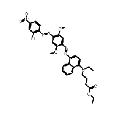 CCOC(=O)CCCN(CC)c1ccc(N=Nc2cc(OC)c(N=Nc3ccc([N+](=O)[O-])cc3Cl)cc2OC)c2ccccc12